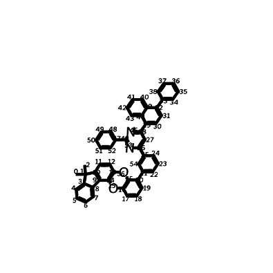 CC1(C)c2ccccc2-c2c1ccc1c2Oc2cccc(-c3cccc(-c4cc(-c5ccc(-c6ccccc6)c6ccccc56)nc(-c5ccccc5)n4)c3)c2O1